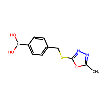 Cc1nnc(SCc2ccc(B(O)O)cc2)o1